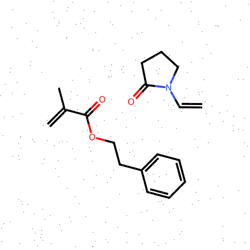 C=C(C)C(=O)OCCc1ccccc1.C=CN1CCCC1=O